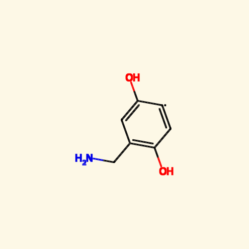 NCc1cc(O)[c]cc1O